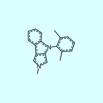 Cc1cccc(C)c1-n1c2ccccc2c2cn(C)cc21